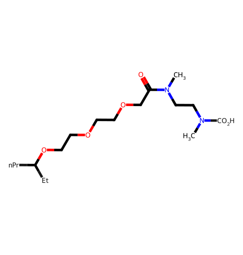 CCCC(CC)OCCOCCOCC(=O)N(C)CCN(C)C(=O)O